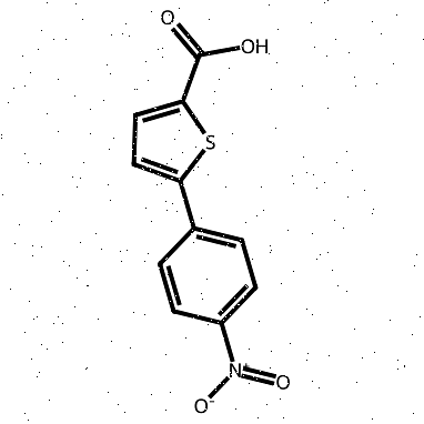 O=C(O)c1ccc(-c2ccc([N+](=O)[O-])cc2)s1